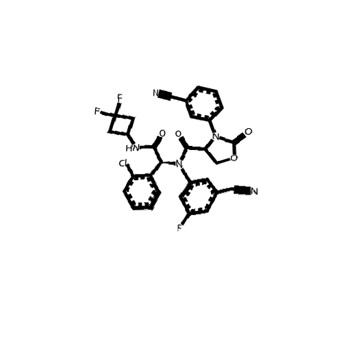 N#Cc1cccc(N2C(=O)OCC2C(=O)N(c2cc(F)cc(C#N)c2)[C@H](C(=O)NC2CC(F)(F)C2)c2ccccc2Cl)c1